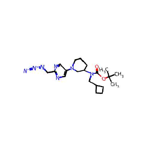 CC(C)(C)OC(=O)N(CC1CCC1)C1CCCN(c2cnc(CN=[N+]=[N-])nc2)C1